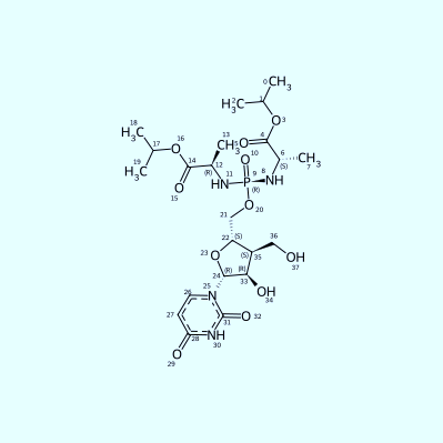 CC(C)OC(=O)[C@H](C)N[P@](=O)(N[C@H](C)C(=O)OC(C)C)OC[C@H]1O[C@@H](n2ccc(=O)[nH]c2=O)[C@H](O)[C@@H]1CO